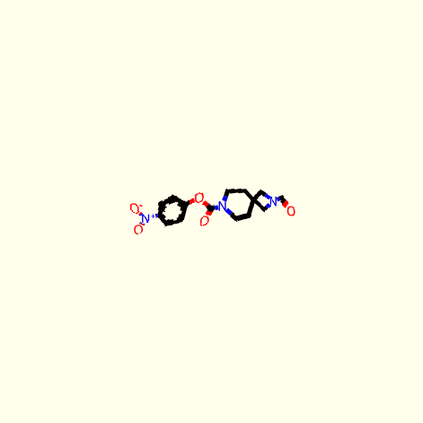 O=CN1CC2(CCN(C(=O)Oc3ccc([N+](=O)[O-])cc3)CC2)C1